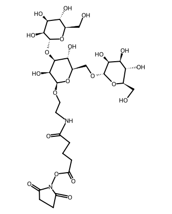 O=C(CCCC(=O)ON1C(=O)CCC1=O)NCCO[C@@H]1O[C@H](CO[C@H]2O[C@H](CO)[C@@H](O)[C@H](O)[C@@H]2O)[C@@H](O)[C@H](O[C@H]2O[C@H](CO)[C@@H](O)[C@H](O)[C@@H]2O)[C@@H]1O